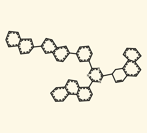 C1=CC(c2nc(-c3cccc(-c4ccc5cc(-c6ccc7ccccc7c6)ccc5c4)c3)nc(-c3cccc4c3ccc3ccccc34)n2)Cc2c1ccc1ccccc21